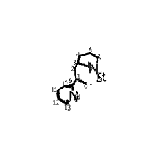 [CH2]C(CC1CCCN1CC)c1ccccn1